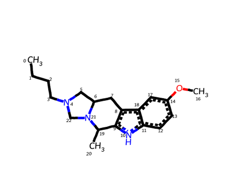 CCCCN1CC2Cc3c([nH]c4ccc(OC)cc34)C(C)N2C1